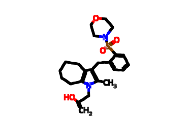 C=C(O)Cn1c(C)c(Cc2ccccc2S(=O)(=O)N2CCOCC2)c2c1CCCCC2